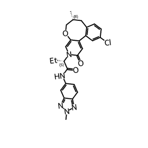 CC[C@@H](C(=O)Nc1ccc2nn(C)nc2c1)n1cc2c(cc1=O)-c1cc(Cl)ccc1C[C@@H](C)CO2